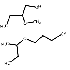 CCC(CO)OC.CCCCOC(C)CO